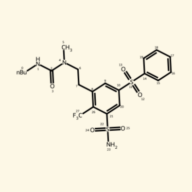 CCCCNC(=O)N(C)CCc1cc(S(=O)(=O)c2ccccc2)cc(S(N)(=O)=O)c1C(F)(F)F